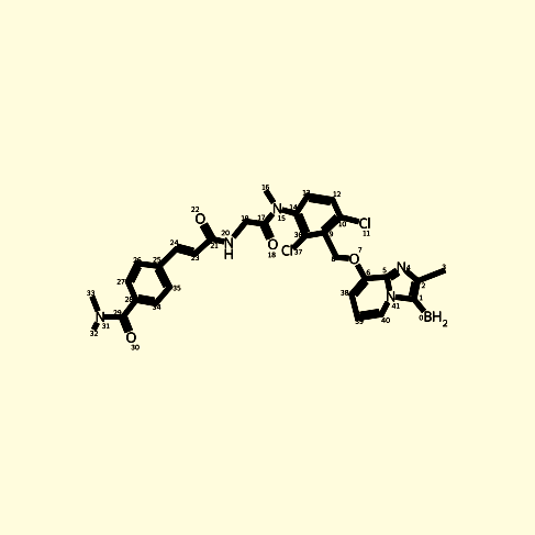 Bc1c(C)nc2c(OCc3c(Cl)ccc(N(C)C(=O)CNC(=O)/C=C/c4ccc(C(=O)N(C)C)cc4)c3Cl)cccn12